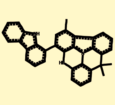 Cc1cc(-c2cccc3c2[nH]c2ccccc23)c2c3c1c1cccc4c1n3-c1c(cccc1C4(C)C)B2